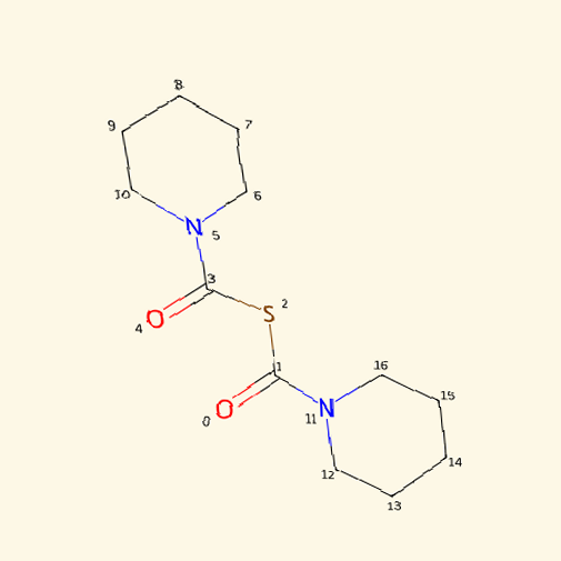 O=C(SC(=O)N1CCCCC1)N1CCCCC1